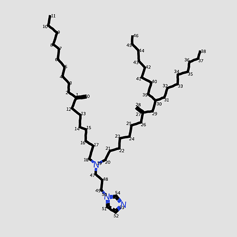 C=C(CCCCCCCCCC)CCCCCCCN(CCCCCCCC(=C)CC(CCCCCCCC)CCCCCCCC)CCCn1ccnc1